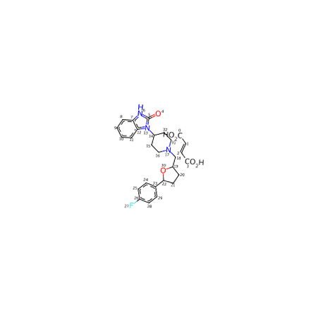 O=C(O)/C=C/C(=O)O.O=c1[nH]c2ccccc2n1C1CCN(CC2CCC(c3ccc(F)cc3)O2)CC1